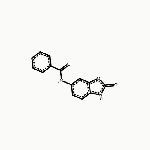 O=C(Nc1ccc2[nH]c(=O)oc2c1)c1ccccc1